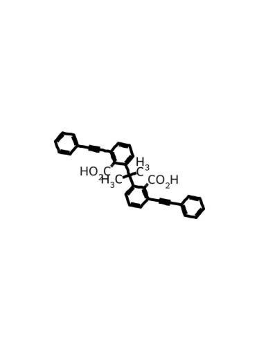 CC(C)(c1cccc(C#Cc2ccccc2)c1C(=O)O)c1cccc(C#Cc2ccccc2)c1C(=O)O